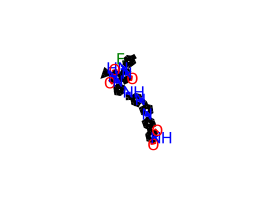 Cc1ccc(Nc2c3c(=O)n(C4CC4)c(=O)n(-c4cccc(NCC5CCN(CC6CCN(c7ccc(C8CCC(=O)NC8=O)cc7)CC6)CC5)c4)c3c(C)c(=O)n2C)c(F)c1